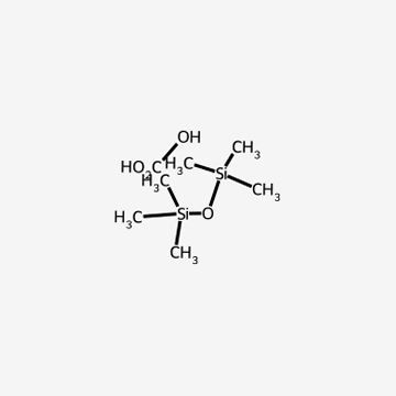 C[Si](C)(C)O[Si](C)(C)C.O=C(O)O